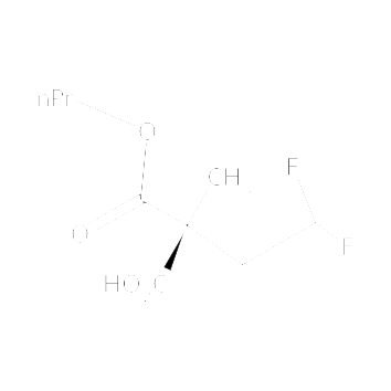 CCCOC(=O)[C@](C)(CC(F)F)C(=O)O